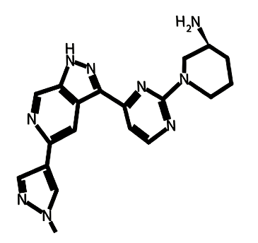 Cn1cc(-c2cc3c(-c4ccnc(N5CCC[C@H](N)C5)n4)n[nH]c3cn2)cn1